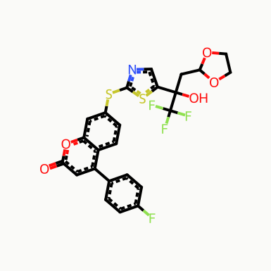 O=c1cc(-c2ccc(F)cc2)c2ccc(Sc3ncc(C(O)(CC4OCCO4)C(F)(F)F)s3)cc2o1